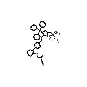 CCC(C)(C)Cc1cn(C(c2ccccc2)(c2ccccc2)c2ccccc2)c(CCc2ccc(-c3ccccc3OCC(=O)C#N)cc2)n1